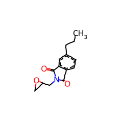 CCCc1ccc2c(c1)C(=O)N(CC1CO1)C2=O